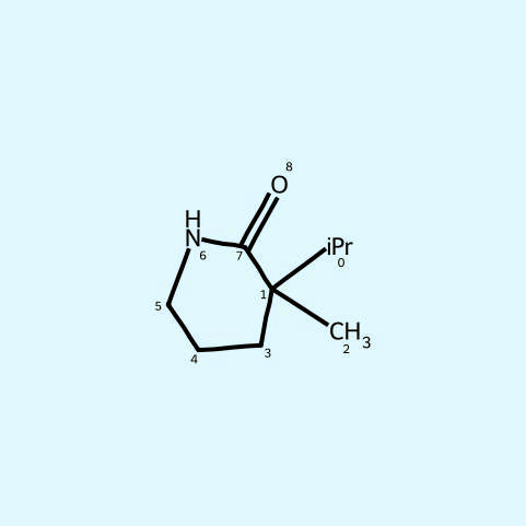 CC(C)C1(C)CCCNC1=O